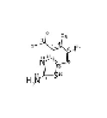 CC(C)c1c(F)c(F)cc2sc(N)nc12